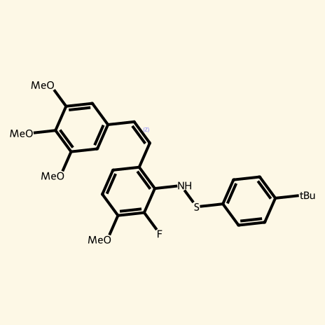 COc1ccc(/C=C\c2cc(OC)c(OC)c(OC)c2)c(NSc2ccc(C(C)(C)C)cc2)c1F